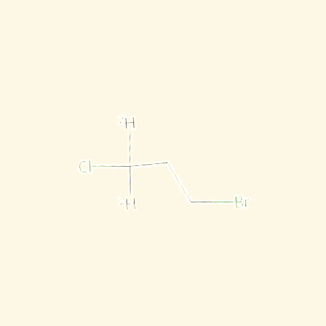 [2H]C([2H])(Cl)CCBr